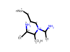 CCCCCCCCCCCCN(C(N)CC)C(C(=O)O)C(N)CC